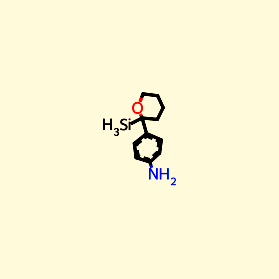 Nc1ccc(C2([SiH3])CCCCO2)cc1